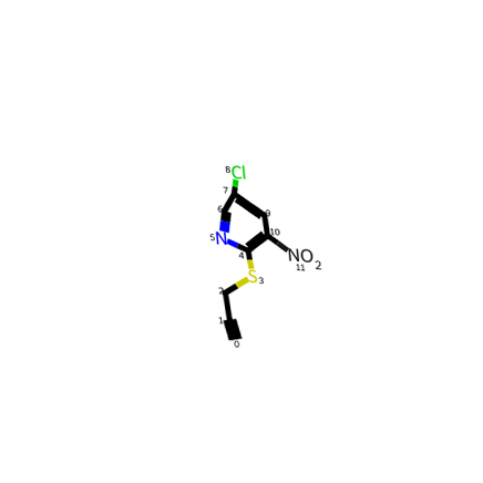 C#CCSc1ncc(Cl)cc1[N+](=O)[O-]